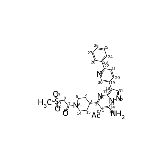 CC(=O)c1c(C2CCN(C(=O)CS(C)(=O)=O)CC2)nc2c(-c3ccc(-c4ccccc4)nc3)cnn2c1N